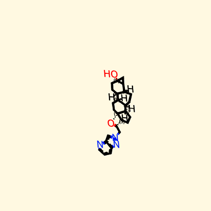 C[C@]12CC[C@@H]3[C@H]4CC[C@]5(O)CC5[C@@H]4CC[C@H]3[C@@H]1CC[C@@H]2C(=O)Cn1cc2ncccc2n1